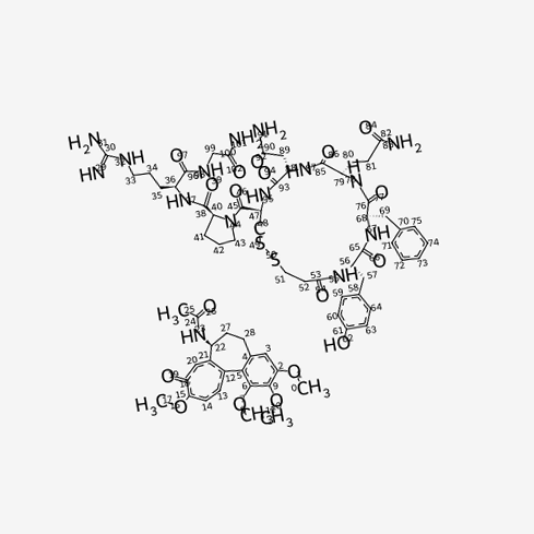 COc1cc2c(c(OC)c1OC)-c1ccc(OC)c(=O)cc1[C@@H](NC(C)=O)CC2.N=C(N)NCCC[C@H](NC(=O)[C@@H]1CCCN1C(=O)[C@@H]1CSSCCC(=O)N[C@@H](Cc2ccc(O)cc2)C(=O)N[C@@H](Cc2ccccc2)C(=O)N[C@@H](CCC(N)=O)C(=O)N[C@@H](CC(N)=O)C(=O)N1)C(=O)NCC(N)=O